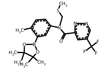 CSCN(C(=O)c1cc(C(F)(F)F)cnn1)c1ccc(C)c(B2OC(C)(C)C(C)(C)O2)c1